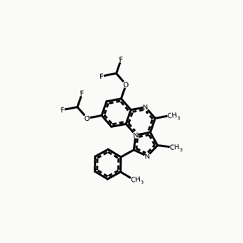 Cc1ccccc1-c1nc(C)c2c(C)nc3c(OC(F)F)cc(OC(F)F)cc3n12